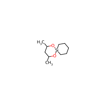 CC1CC(C)O[Si]2(CCCCC2)O1